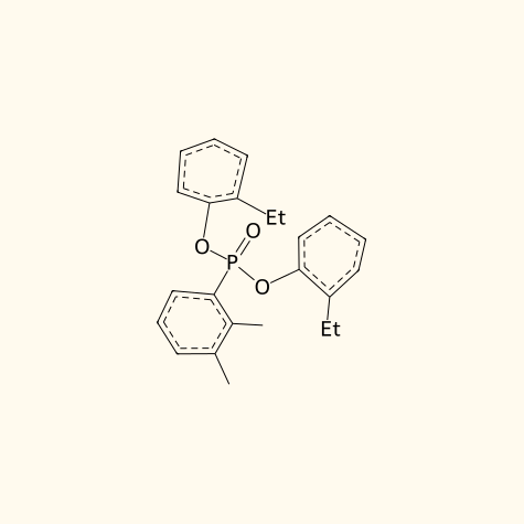 CCc1ccccc1OP(=O)(Oc1ccccc1CC)c1cccc(C)c1C